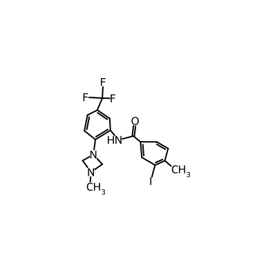 Cc1ccc(C(=O)Nc2cc(C(F)(F)F)ccc2N2CN(C)C2)cc1I